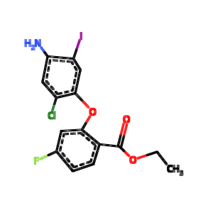 CCOC(=O)c1ccc(F)cc1Oc1cc(I)c(N)cc1Cl